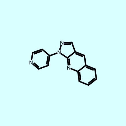 c1ccc2nc3c(cnn3-c3ccncc3)cc2c1